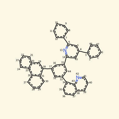 c1ccc(-c2cc(-c3ccccc3)nc(-c3cc(-c4cc5ccccc5c5ccccc45)cc(-c4cccc5cccnc45)c3)c2)cc1